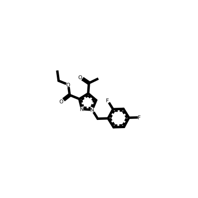 CCOC(=O)c1nn(Cc2ccc(F)cc2F)cc1C(C)=O